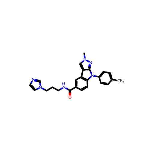 Cn1cc2c3cc(C(=O)NCCCn4ccnc4)ccc3n(-c3ccc(C(F)(F)F)cc3)c2n1